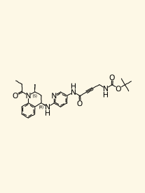 CCC(=O)N1c2ccccc2[C@H](Nc2ccc(NC(=O)C#CCNC(=O)OC(C)(C)C)cn2)C[C@@H]1C